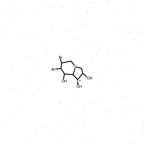 OC1C(Br)C(Br)CN2CC(O)[C@@H](O)C12